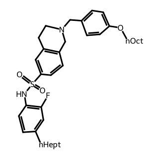 CCCCCCCCOc1ccc(CN2CCc3cc(S(=O)(=O)Nc4ccc(CCCCCCC)cc4F)ccc3C2)cc1